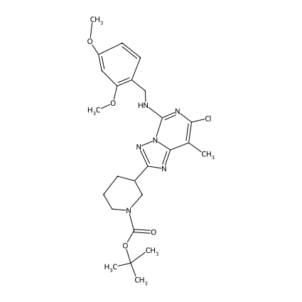 COc1ccc(CNc2nc(Cl)c(C)c3nc(C4CCCN(C(=O)OC(C)(C)C)C4)nn23)c(OC)c1